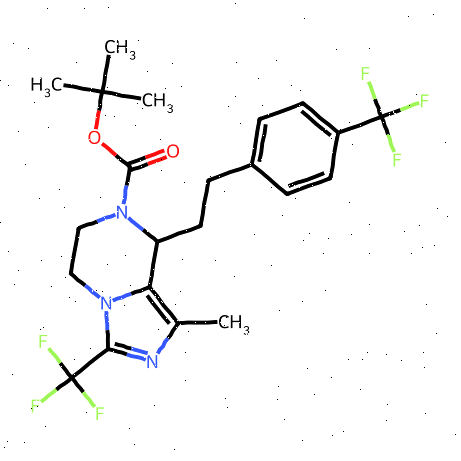 Cc1nc(C(F)(F)F)n2c1C(CCc1ccc(C(F)(F)F)cc1)N(C(=O)OC(C)(C)C)CC2